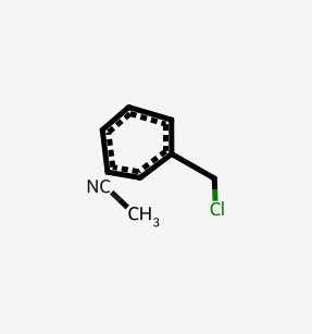 CC#N.ClCc1ccccc1